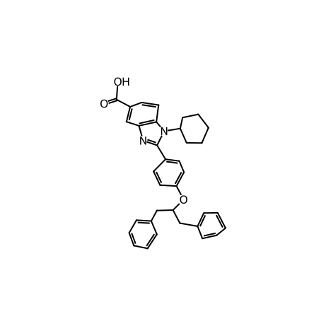 O=C(O)c1ccc2c(c1)nc(-c1ccc(OC(Cc3ccccc3)Cc3ccccc3)cc1)n2C1CCCCC1